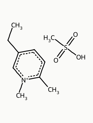 CCc1ccc(C)[n+](C)c1.CS(=O)(=O)O